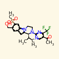 CC(=O)c1cnc(N2CCn3c(cc4cc(CO)c(S(C)(=O)=O)cc43)[C@@H]2C(C)C)nc1C(F)(F)F